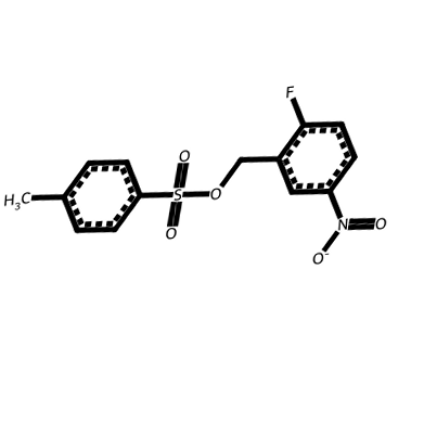 Cc1ccc(S(=O)(=O)OCc2cc([N+](=O)[O-])ccc2F)cc1